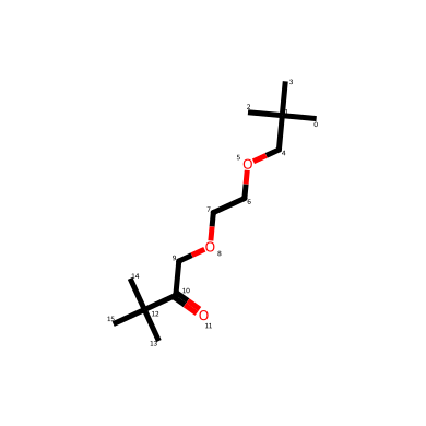 CC(C)(C)COCCOCC(=O)C(C)(C)C